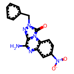 Nc1nc2cc([N+](=O)[O-])ccc2n2c(=O)n(Cc3ccccc3)nc12